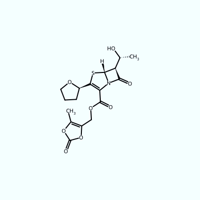 Cc1oc(=O)oc1COC(=O)C1=C([C@H]2CCCO2)S[C@@H]2[C@@H]([C@@H](C)O)C(=O)N12